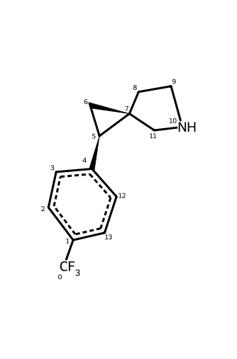 FC(F)(F)c1ccc([C@H]2C[C@]23CCNC3)cc1